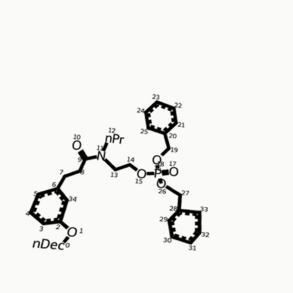 CCCCCCCCCCOc1cccc(CCC(=O)N(CCC)CCOP(=O)(OCc2ccccc2)OCc2ccccc2)c1